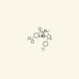 COC(=O)c1ccc(C(=O)NN=C(C)c2csc(-c3ccc(C(C)(C)C)cc3)c2O)cc1